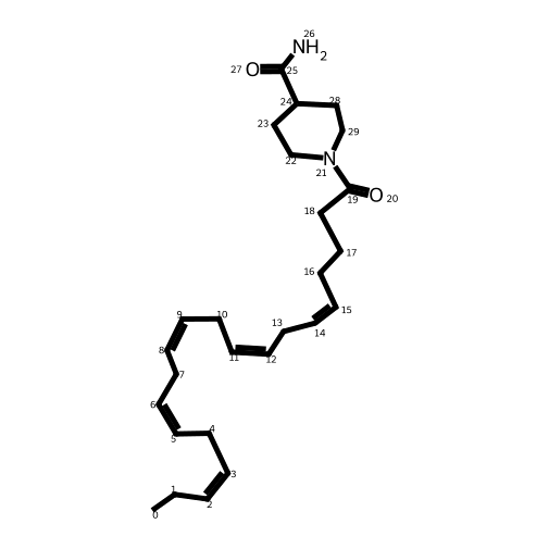 CC/C=C\C/C=C\C/C=C\C/C=C\C/C=C\CCCC(=O)N1CCC(C(N)=O)CC1